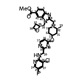 COC(=O)c1ccc2nc(CN3CC[C@H](Oc4ccnc(CNc5ncc(F)cc5Cl)n4)C[C@@H]3C)n(C[C@@H]3CCO3)c2c1